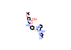 Cc1cc(Nc2nc(Sc3ccc(NC(=O)CN4C[C@H](OC(C)(C)C)C[C@@H]4CO)cc3)nn3cccc23)n[nH]1